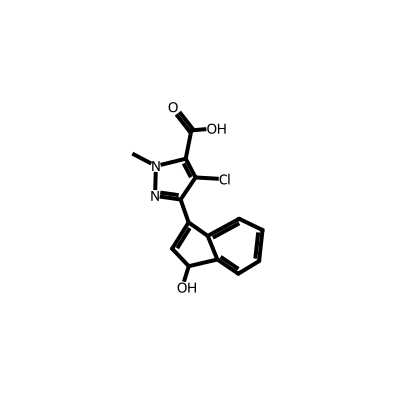 Cn1nc(C2=CC(O)c3ccccc32)c(Cl)c1C(=O)O